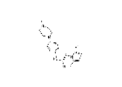 CN1CCN(c2ccc(Nc3ncc4ccc(Br)n4n3)cc2)CC1